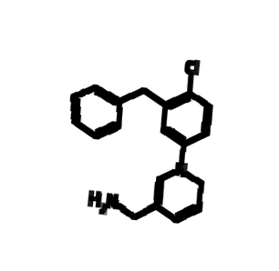 NCC1=CN(c2ccc(Cl)c(Cc3ccccc3)c2)CC=C1